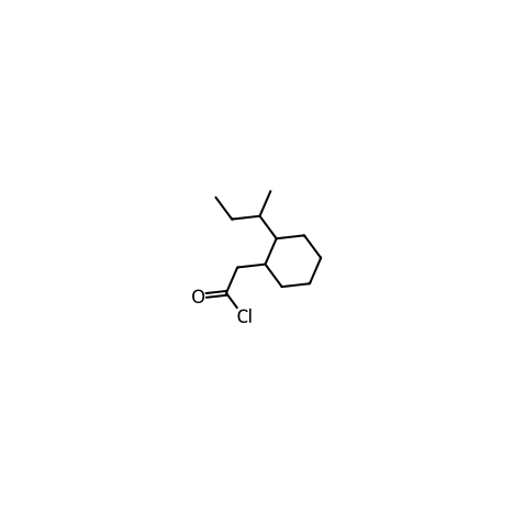 CCC(C)C1CCCCC1CC(=O)Cl